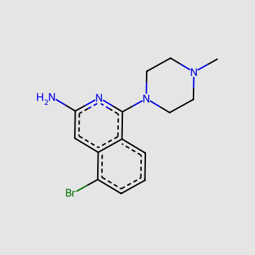 CN1CCN(c2nc(N)cc3c(Br)cccc23)CC1